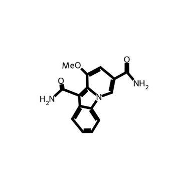 COc1cc(C(N)=O)cn2c1c(C(N)=O)c1ccccc12